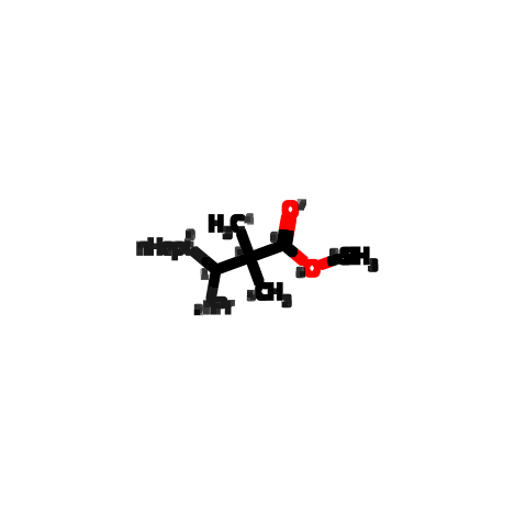 CCCCCCCC(CCC)C(C)(C)C(=O)O[SiH3]